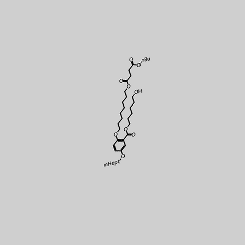 CCCCCCCOc1ccc(OCCCCCCCCOC(=O)CCC(=O)OCCCC)c(C(=O)OCCCCCCO)c1